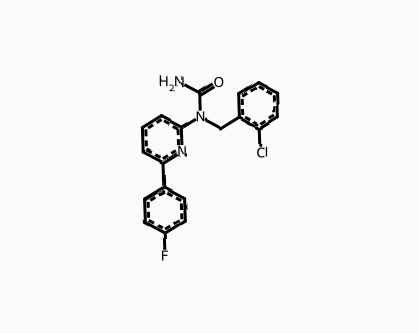 NC(=O)N(Cc1ccccc1Cl)c1cccc(-c2ccc(F)cc2)n1